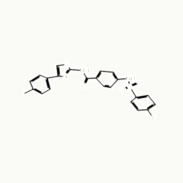 Cc1ccc(-c2csc(NC(=O)c3ccc(NS(=O)(=O)c4ccc(F)cc4)cc3)n2)cc1